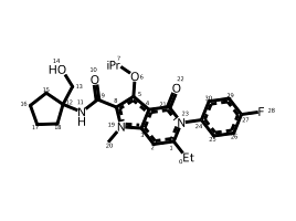 CCc1cc2c(c(OC(C)C)c(C(=O)NC3(CO)CCCC3)n2C)c(=O)n1-c1ccc(F)cc1